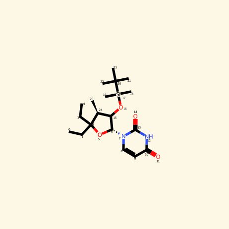 CCC1(CC)O[C@@H](n2ccc(=O)[nH]c2=O)C(O[Si](C)(C)C(C)(C)C)[C@@H]1C